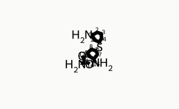 Nc1cccc(Sc2ccc(S(N)(=O)=O)c(N)c2)c1